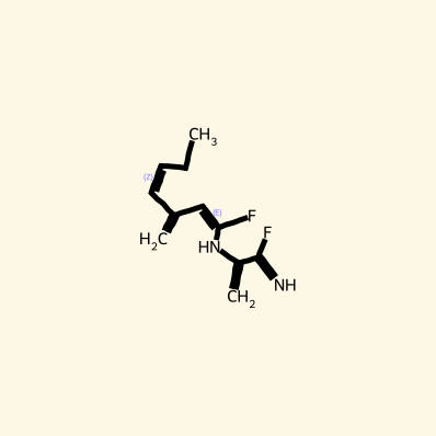 C=C(/C=C\CC)/C=C(/F)NC(=C)C(=N)F